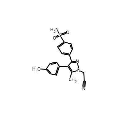 Cc1ccc(-c2c(-c3ccc(S(N)(=O)=O)cc3)nn(CC#N)c2C)cc1